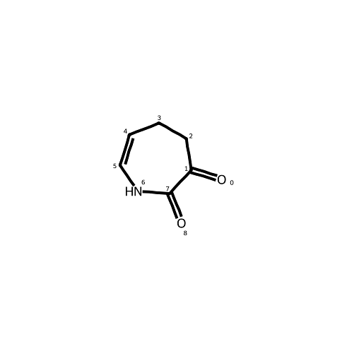 O=C1CCC=CNC1=O